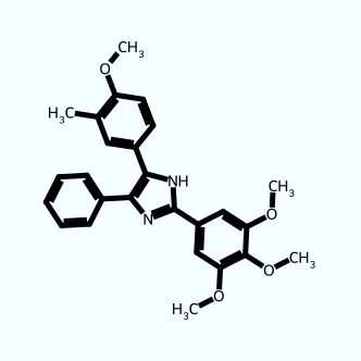 COc1ccc(-c2[nH]c(-c3cc(OC)c(OC)c(OC)c3)nc2-c2ccccc2)cc1C